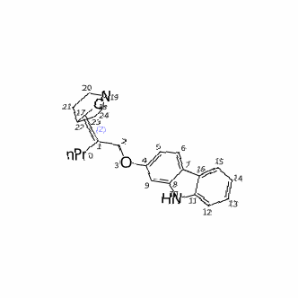 CCC/C(COc1ccc2c(c1)[nH]c1ccccc12)=C1/CN2CCC1CC2